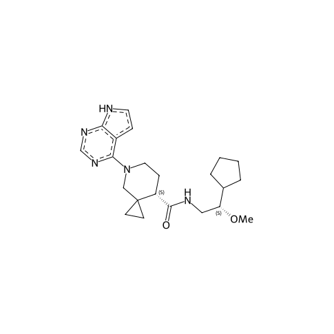 CO[C@H](CNC(=O)[C@H]1CCN(c2ncnc3[nH]ccc23)CC12CC2)C1CCCC1